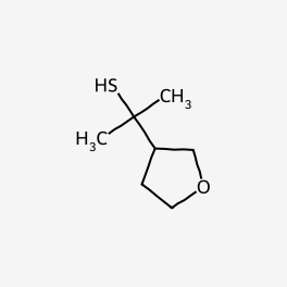 CC(C)(S)C1CCOC1